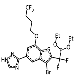 CCOP(OCC)C(F)(F)c1sc2c(OCCCC(F)(F)F)cc(-c3nc[nH]n3)cc2c1Br